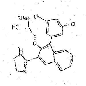 COCCOc1c(C2=NCCN2)cc2ccccc2c1-c1cc(Cl)cc(Cl)c1.Cl